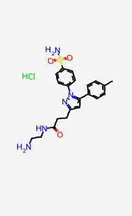 Cc1ccc(-c2cc(CCC(=O)NCCN)nn2-c2ccc(S(N)(=O)=O)cc2)cc1.Cl